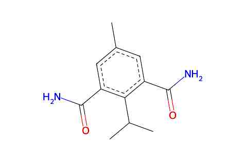 Cc1cc(C(N)=O)c(C(C)C)c(C(N)=O)c1